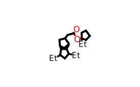 CCC1CC(CC)C2C3CC(CC3CC(=O)OC3(CC)CCCC3)C12